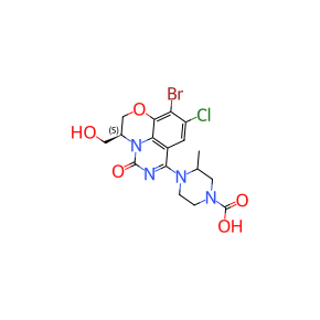 CC1CN(C(=O)O)CCN1c1nc(=O)n2c3c(c(Br)c(Cl)cc13)OC[C@@H]2CO